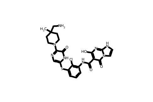 CC1(CN)CCN(c2ncc(Sc3cccc(NC(=O)c4c(O)nc5[nH]ccn5c4=O)c3Cl)[nH]c2=O)CC1